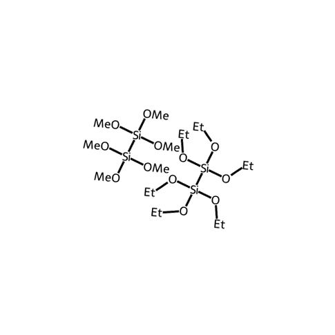 CCO[Si](OCC)(OCC)[Si](OCC)(OCC)OCC.CO[Si](OC)(OC)[Si](OC)(OC)OC